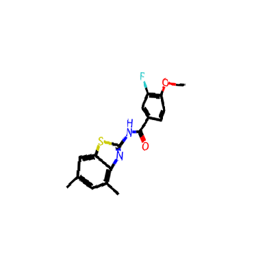 COc1ccc(C(=O)Nc2nc3c(C)cc(C)cc3s2)cc1F